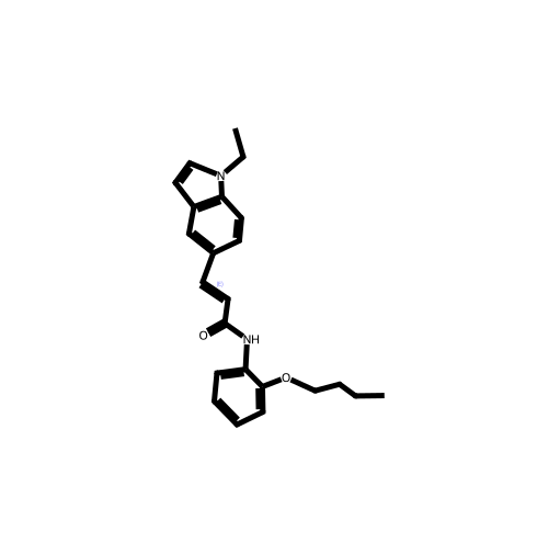 CCCCOc1ccccc1NC(=O)/C=C/c1ccc2c(ccn2CC)c1